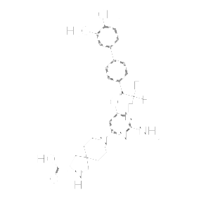 Cc1ccc(-c2ccc([C@@H](Oc3cc(N4CCC5(CC4)CN[C@H](C(=O)O)C5)nc(N)n3)C(F)(F)F)cc2)cc1C